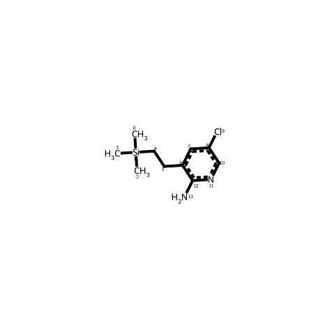 C[Si](C)(C)CCc1cc(Cl)cnc1N